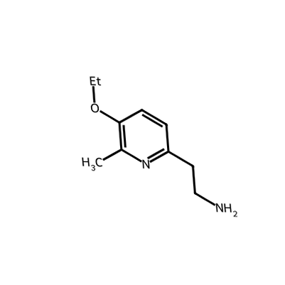 CCOc1ccc(CCN)nc1C